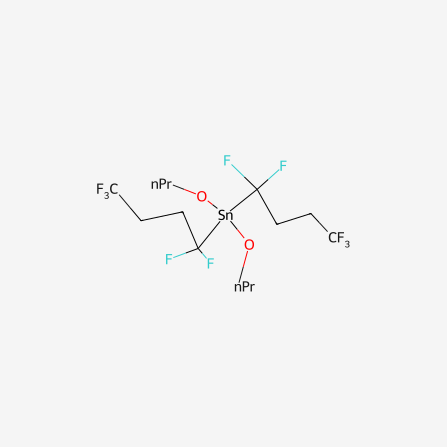 CCC[O][Sn]([O]CCC)([C](F)(F)CCC(F)(F)F)[C](F)(F)CCC(F)(F)F